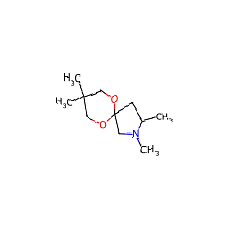 CC1CC2(CN1C)OCC(C)(C)CO2